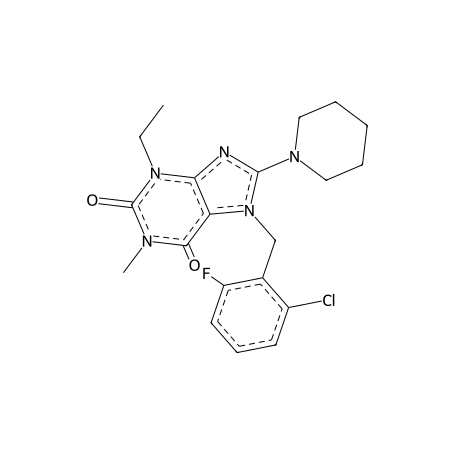 CCn1c(=O)n(C)c(=O)c2c1nc(N1CCCCC1)n2Cc1c(F)cccc1Cl